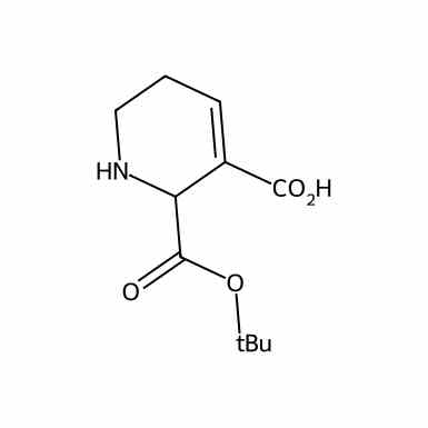 CC(C)(C)OC(=O)C1NCCC=C1C(=O)O